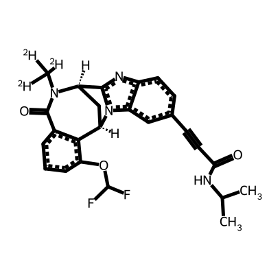 [2H]C([2H])([2H])N1C(=O)c2cccc(OC(F)F)c2[C@H]2C[C@@H]1c1nc3ccc(C#CC(=O)NC(C)C)cc3n12